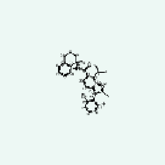 Cc1nn2c(C(C)C)c(C(=O)NC3(C)CCCc4ccccc43)ccc2c1-c1c(F)cccc1F